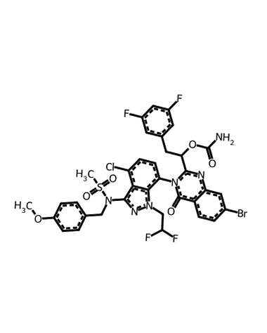 COc1ccc(CN(c2nn(CC(F)F)c3c(-n4c(C(Cc5cc(F)cc(F)c5)OC(N)=O)nc5cc(Br)ccc5c4=O)ccc(Cl)c23)S(C)(=O)=O)cc1